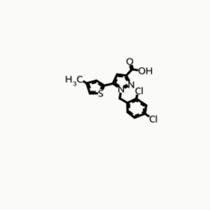 Cc1csc(-c2cc(C(=O)O)nn2Cc2ccc(Cl)cc2Cl)c1